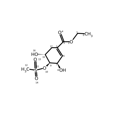 CCOC(=O)C1=C[C@@H](O)[C@@H](OS(C)(=O)=O)[C@H](O)C1